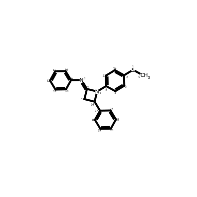 CSc1ccc(N2/C(=N/c3ccccc3)CC2c2ccccc2)cc1